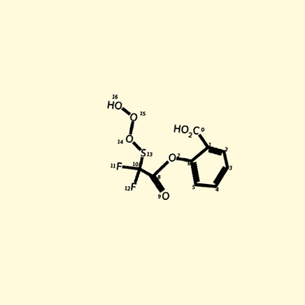 O=C(O)c1ccccc1OC(=O)C(F)(F)SOOO